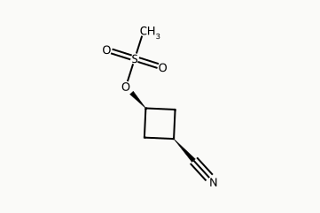 CS(=O)(=O)O[C@H]1C[C@@H](C#N)C1